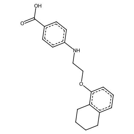 O=C(O)c1ccc(NCCOc2cccc3c2CCCC3)cc1